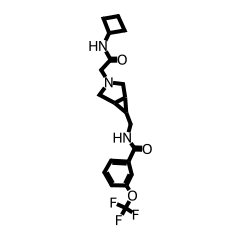 O=C(CN1CC2C(CNC(=O)c3cccc(OC(F)(F)F)c3)C2C1)NC1CCC1